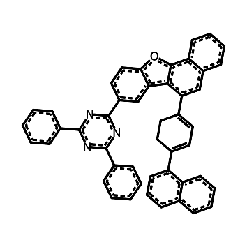 C1=C(c2cccc3ccccc23)CCC(c2cc3ccccc3c3oc4ccc(-c5nc(-c6ccccc6)nc(-c6ccccc6)n5)cc4c23)=C1